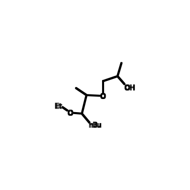 CCCCC(OCC)C(C)OCC(C)O